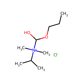 CCCOC(O)[N+](C)(C)C(C)C.[Cl-]